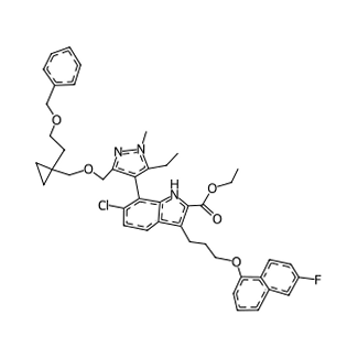 CCOC(=O)c1[nH]c2c(-c3c(COCC4(CCOCc5ccccc5)CC4)nn(C)c3CC)c(Cl)ccc2c1CCCOc1cccc2cc(F)ccc12